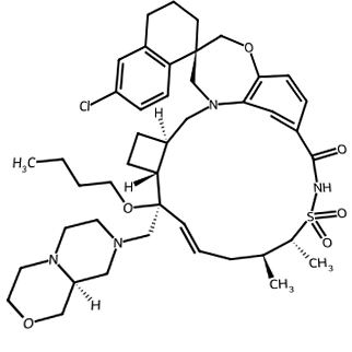 CCCCO[C@]1(CN2CCN3CCOC[C@@H]3C2)/C=C/C[C@H](C)[C@@H](C)S(=O)(=O)NC(=O)c2ccc3c(c2)N(C[C@@H]2CC[C@H]21)C[C@@]1(CCCc2cc(Cl)ccc21)CO3